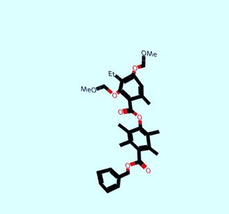 CCc1c(OCOC)cc(C)c(C(=O)Oc2c(C)c(C)c(C(=O)OCc3ccccc3)c(C)c2C)c1OCOC